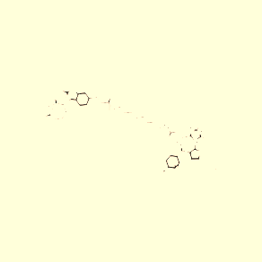 Cc1sc2c(c1C)C(c1ccc(Cl)cc1)=N[C@@H](CC(=O)NCCCCCCCCNC(=O)CCc1ccc3c(c1)oc(=O)n3C1CCCC(=O)NC1=O)c1nnc(C)n1-2